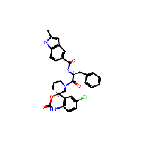 Cc1cc2cc(C(=O)N[C@@H](Cc3ccccc3)C(=O)N3CCC[C@@]4(C3)OC(=O)Nc3ccc(Cl)cc34)ccc2[nH]1